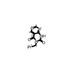 CC(C)Cn1c(=O)[nH]c2ncncc2c1=O